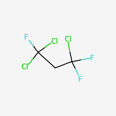 FC(F)(Cl)CC(F)(Cl)Cl